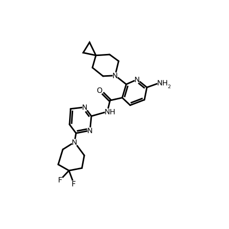 Nc1ccc(C(=O)Nc2nccc(N3CCC(F)(F)CC3)n2)c(N2CCC3(CC2)CC3)n1